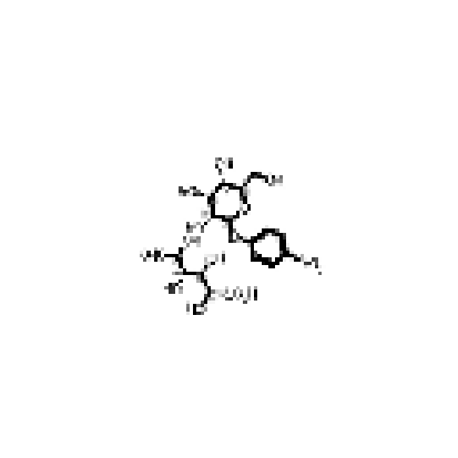 O=C[C@@H](O)[C@H](O)[C@@H](O)[C@H](O)C(=O)O.O=[N+]([O-])c1ccc(O[C@@H]2O[C@H](CO)[C@@H](O)[C@H](O)[C@H]2O)cc1